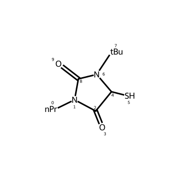 CCCN1C(=O)C(S)N(C(C)(C)C)C1=O